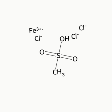 CS(=O)(=O)O.[Cl-].[Cl-].[Cl-].[Fe+3]